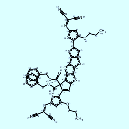 CCCOc1cc(N=C(C#N)C#N)sc1C1=Cc2sc3c(sc4c5sc(-c6sc(N=C(C#N)C#N)cc6OCCC)cc5sc34)c2C1(C(=O)OCc1ccccc1)C(=O)OCc1ccccc1